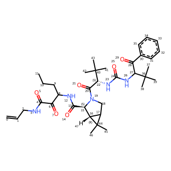 C=CCNC(=O)C(=O)C(CCC)NC(=O)[C@@H]1[C@@H]2C(CN1C(=O)[C@@H](NC(=O)NC(C(=O)c1ccccc1)C(C)(C)C)C(C)(C)C)C2(C)C